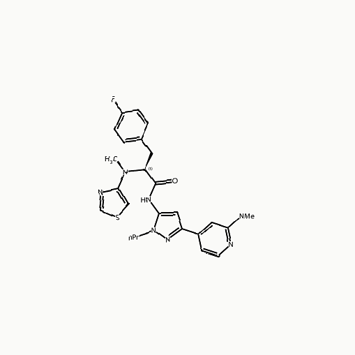 CCCn1nc(-c2ccnc(NC)c2)cc1NC(=O)[C@H](Cc1ccc(F)cc1)N(C)c1cscn1